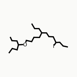 CCCC(I)CCCC(CCC)CCCCOC(CCC)CCC